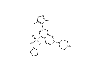 Cc1noc(C)c1-c1cc(S(=O)(=O)NC2CCCC2)c2ccc(N3CCNCC3)nc2c1